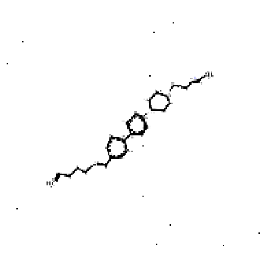 C=CCCCOCc1ccc(-c2ccc([C@H]3CC[C@H](CC/C=C/C)CC3)cc2)cc1